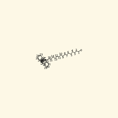 CCCCCCCCCCCCCCCCCCSP(=S)(C1CCCCC1)C1CCCCC1